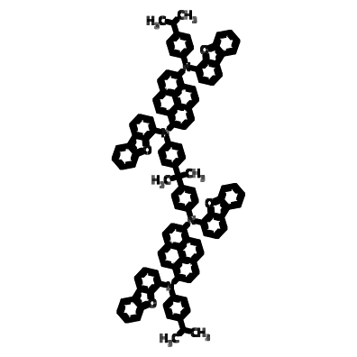 CC(C)c1ccc(N(c2ccc3ccc4c(N(c5ccc(C(C)(C)c6ccc(N(c7ccc8ccc9c(N(c%10ccc(C(C)C)cc%10)c%10cccc%11c%10oc%10ccccc%10%11)ccc%10ccc7c8c%109)c7cccc8c7oc7ccccc78)cc6)cc5)c5cccc6c5oc5ccccc56)ccc5ccc2c3c54)c2cccc3c2oc2ccccc23)cc1